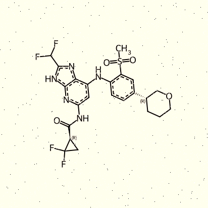 CS(=O)(=O)c1cc([C@H]2CCCOC2)ccc1Nc1cc(NC(=O)[C@H]2CC2(F)F)nc2[nH]c(C(F)F)nc12